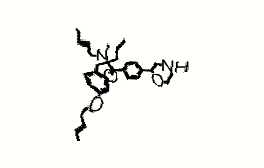 CCCCOc1ccc(CC(CCC)(C(=O)c2ccc(C3CNCCO3)cc2)N(C)CCCC)cc1